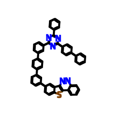 c1ccc(-c2ccc(-c3nc(-c4ccccc4)nc(-c4cccc(-c5ccc(-c6cccc(-c7ccc8sc9c%10ccccc%10nnc9c8c7)c6)cc5)c4)n3)cc2)cc1